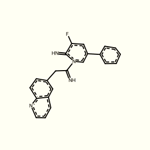 N=C(Cc1ccc2ncccc2c1)n1cc(-c2ccccc2)cc(F)c1=N